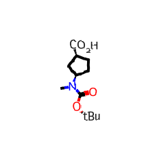 CN(C(=O)OC(C)(C)C)[C@@H]1CC[C@H](C(=O)O)C1